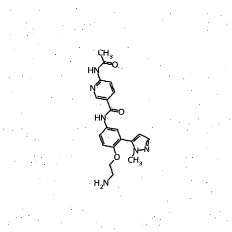 CC(=O)Nc1ccc(C(=O)Nc2ccc(OCCN)c(-c3ccnn3C)c2)cn1